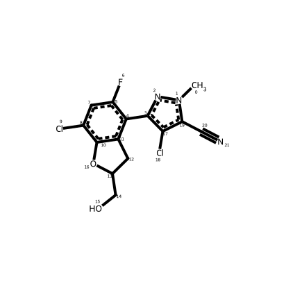 Cn1nc(-c2c(F)cc(Cl)c3c2CC(CO)O3)c(Cl)c1C#N